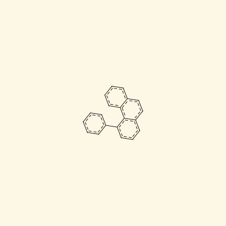 [c]1cc(-c2ccccc2)c2c(c1)ccc1ccccc12